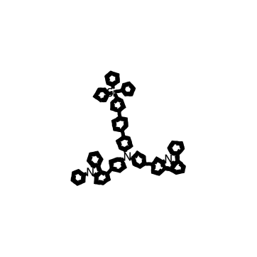 c1ccc(-n2c3ccccc3c3c(-c4ccc(N(c5ccc(-c6ccc(-c7ccc([Si](c8ccccc8)(c8ccccc8)c8ccccc8)cc7)cc6)cc5)c5ccc(-c6ccc7c8cccc9c%10ccccc%10n(c7c6)c98)cc5)cc4)cccc32)cc1